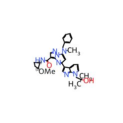 CO[C@H]1CC[C@@H]1NC(=O)c1cnn2c(N(C)Cc3ccccc3)cc(-c3cnc4n(CC(C)(C)O)cccc3-4)nc12